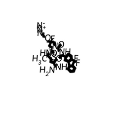 C[C@@H](NC(=O)[C@@H]1C[C@](F)(COCCN=[N+]=[N-])CN1C(=O)CNC(=O)c1ccc2c(c1)-c1ccccc1C2(F)F)c1cc(C(=N)N)cs1